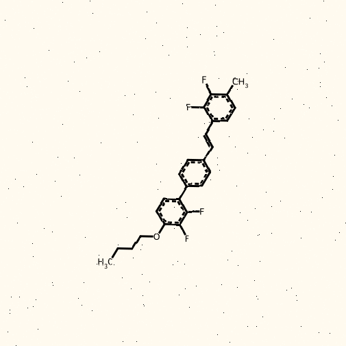 CCCCOc1ccc(-c2ccc(/C=C/c3ccc(C)c(F)c3F)cc2)c(F)c1F